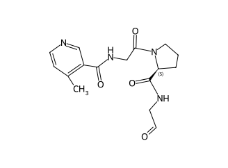 Cc1ccncc1C(=O)NCC(=O)N1CCC[C@H]1C(=O)NCC=O